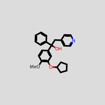 COc1ccc(C(O)(Cc2ccncc2)c2ccccc2)cc1OC1CCCC1